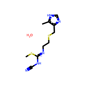 CS/C(=N\CCSCc1nc[nH]c1C)NC#N.O